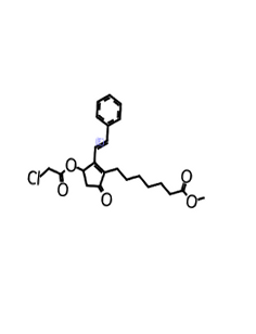 COC(=O)CCCCCCC1=C(/C=C/c2ccccc2)C(OC(=O)CCl)CC1=O